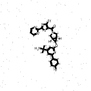 CCc1nc(-c2ncccn2)sc1C(=O)N1C[C@@H]2[C@H](C1)[C@@H]2Oc1cc(C(C)(C)N)cc(-c2ccc(F)cc2)n1